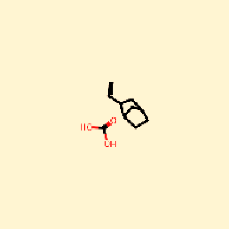 C=CC1CC2CCC1C2.O=C(O)O